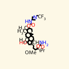 COC(CC[C@H]1C[C@H](O)C2(C)C3CCC4C(C)(C)[C@@H](OC(=O)NC5CN(CC(F)(F)F)C5)CC[C@@]45CC35CC[C@]12C)[C@H](OC(N)=O)C(C)C